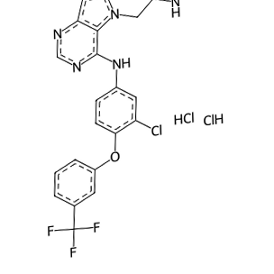 CCNCCn1ccc2ncnc(Nc3ccc(Oc4cccc(C(F)(F)F)c4)c(Cl)c3)c21.Cl.Cl